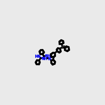 N=C(NC(NCn1c2ccccc2c2cc(-c3ccc([SiH](c4ccccc4)c4ccccc4)cc3)ccc21)c1ccccc1)c1ccccc1